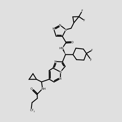 O=C(CCC(F)(F)F)NC(c1cnn2cc([C@@H](NC(=O)c3cnnn3CC3CC3(F)F)C3CCC(F)(F)CC3)nc2c1)C1CC1